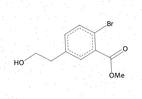 COC(=O)c1cc(CCO)ccc1Br